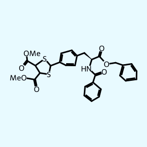 COC(=O)C1SC(c2ccc(C[C@H](NC(=O)c3ccccc3)C(=O)OCc3ccccc3)cc2)SC1C(=O)OC